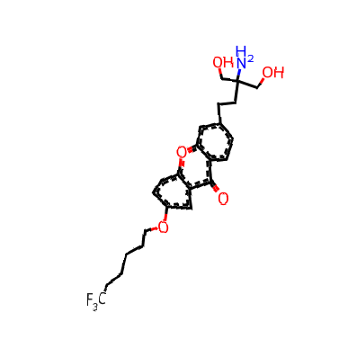 NC(CO)(CO)CCc1ccc2c(=O)c3cc(OCCCCCC(F)(F)F)ccc3oc2c1